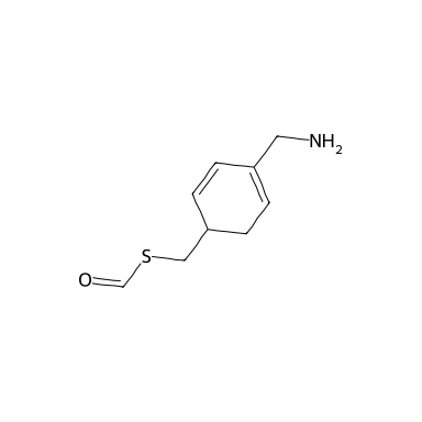 NCC1=CCC(CSC=O)C=C1